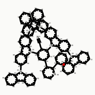 N#Cc1c(-n2c3cc(-n4c5ccccc5c5ccccc54)ccc3c3ccc(-n4c5ccccc5c5ccccc54)cc32)cc(-c2cccnc2-c2ccccc2)cc1-n1c2cc(-n3c4ccccc4c4ccccc43)ccc2c2ccc(-n3c4ccccc4c4ccccc43)cc21